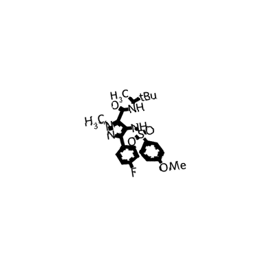 COc1ccc(S(=O)(=O)Nc2c(-c3ccc(F)cc3)nn(C)c2C(=O)NC(C)C(C)(C)C)cc1